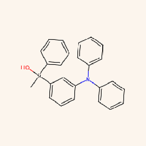 C[Si](O)(c1ccccc1)c1cccc(N(c2ccccc2)c2ccccc2)c1